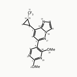 COc1ncc(-c2cc(C3C[C@@H]3C(F)(F)F)c3nccn3n2)c(OC)n1